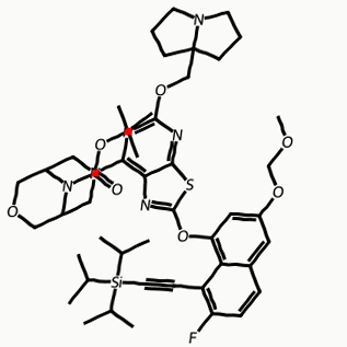 COCOc1cc(Oc2nc3c(N4CC5COCC(C4)N5C(=O)OC(C)(C)C)nc(OCC45CCCN4CCC5)nc3s2)c2c(C#C[Si](C(C)C)(C(C)C)C(C)C)c(F)ccc2c1